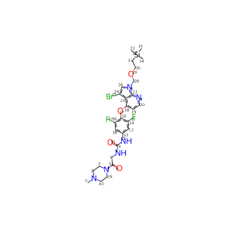 CN1CCN(C(=O)CNC(=O)Nc2cc(F)c(Oc3ccnc4c3c(Br)cn4COCC[Si](C)(C)C)c(F)c2)CC1